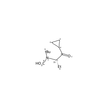 CC[C@@H](C(=O)C1CC1)N(C(=O)O)C(C)(C)C